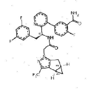 NC(=O)c1cc(-c2cccnc2[C@H](Cc2cc(F)cc(F)c2)NC(=O)Cn2nc(C(F)(F)F)c3c2C[C@H]2C[C@@H]32)ccc1F